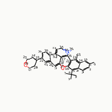 Cc1ccc2c(C(C)(C)C)c3c(c(C)c2c1)-c1c2c(cc4cc(C5CCOCC5)ccc4c2cc[n+]1C)O3